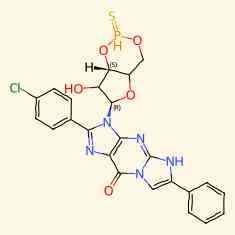 O=c1c2nc(-c3ccc(Cl)cc3)n([C@@H]3OC4CO[PH](=S)O[C@H]4C3O)c2nc2[nH]c(-c3ccccc3)cn12